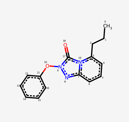 CCCc1cccc2nn(Oc3ccccc3)c(=O)n12